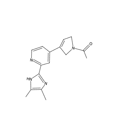 CC(=O)N1CC=C(c2ccnc(-c3nc(C)c(C)[nH]3)c2)C1